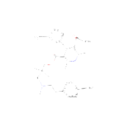 COC(=O)C1=C(C)NC(C)=C(C(=O)OCC(C)(C)CN(C)CCc2ccc(OC)cc2)C1c1cccc([N+](=O)[O-])c1